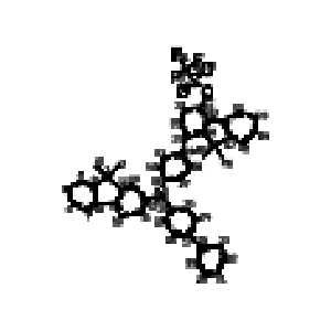 CC1(C)c2ccccc2-c2ccc(N(c3ccc(-c4ccccc4)cc3)c3ccc(-c4ccc(OS(=O)(=O)C(F)(F)F)c5c4C(C)(C)c4ccccc4-5)cc3)cc21